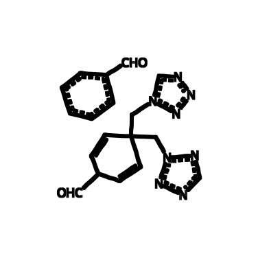 O=CC1C=CC(Cn2cnnn2)(Cn2ncnn2)C=C1.O=Cc1ccccc1